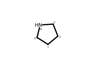 [CH]1CCCN1